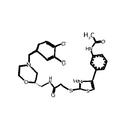 CC(=O)Nc1cccc(C2=CSC(SCC(=O)NC[C@H]3CN(CC4C=C(Cl)C(Cl)=CC4)CCO3)N2)c1